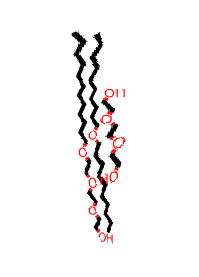 CCCCCCCCCCCCOCCOCCOCCO.CCCCCCCCCCOCCCCCCCCCC.OCCOCCOCCO